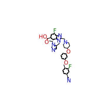 CCn1cncc1Cn1c(CN2CCC(Oc3cccc(OCc4ccc(C#N)cc4F)c3)CC2)nc2c(F)cc(C(=O)O)cc21